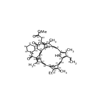 C=Cc1c(C)c2cc3nc(c(CC(=O)OC)c4[nH]c(cc5nc(cc1[nH]2)C(C)=C5CC)c(C)c4C(=O)N1CCCCC1)C(CCC(=O)OC)C3C